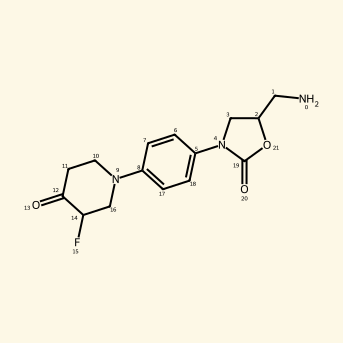 NCC1CN(c2ccc(N3CCC(=O)C(F)C3)cc2)C(=O)O1